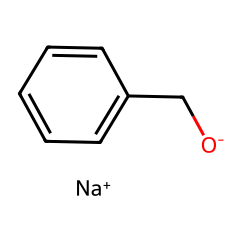 [Na+].[O-]Cc1ccccc1